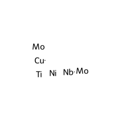 [Cu].[Mo].[Mo].[Nb].[Ni].[Ti]